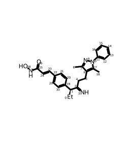 CC[C@H](C(=N)CCc1c(C)nn(-c2ccccc2)c1C)c1ccc(/C=C/C(=O)NO)cc1